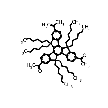 C=C(C)c1ccc2c(c1)C(CCCCCC)(CCCCCC)c1c-2c2c(c3c1-c1ccc(C(C)=O)cc1C3(CCCCCC)CCCCCC)-c1ccc(C(C)=O)cc1C2(CCCCCC)CCCCCC